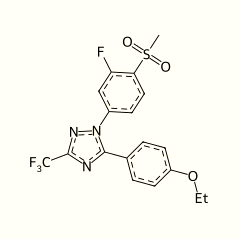 CCOc1ccc(-c2nc(C(F)(F)F)nn2-c2ccc(S(C)(=O)=O)c(F)c2)cc1